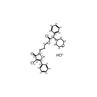 Cl.O=C(OCCCn1oc(-c2ccccc2)c(Cl)c1=O)C(c1ccccc1)N1CCOCC1